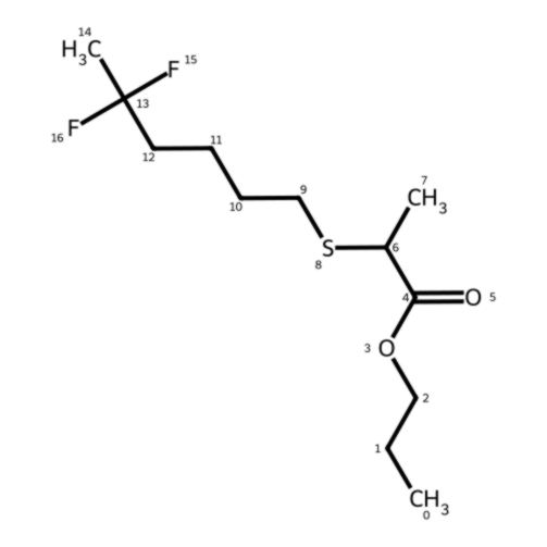 CCCOC(=O)C(C)SCCCCC(C)(F)F